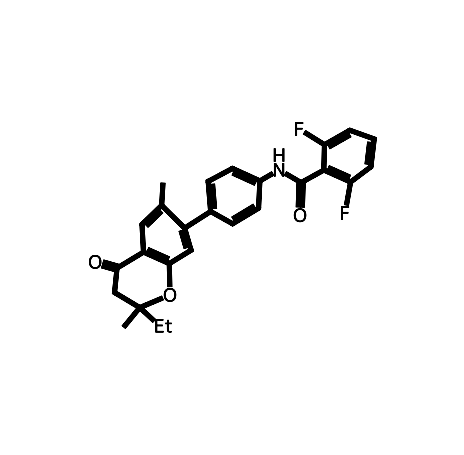 CCC1(C)CC(=O)c2cc(C)c(-c3ccc(NC(=O)c4c(F)cccc4F)cc3)cc2O1